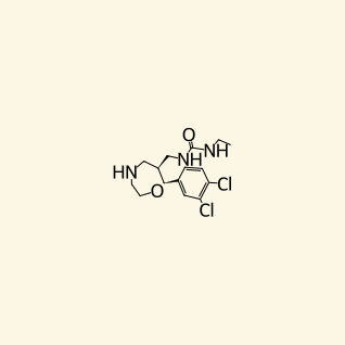 CCNC(=O)NC[C@@H]1CNCCO[C@@H]1c1ccc(Cl)c(Cl)c1